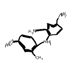 Cc1cc(O)ccc1Nc1ccc(N)cc1N